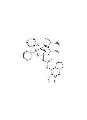 CC(CN(C)C)CS(=O)(=NC(=O)Nc1c2c(cc3c1CCC3)CCC2)N[Si](c1ccccc1)(c1ccccc1)C(C)(C)C